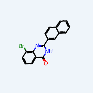 O=c1[nH]c(-c2ccc3ccccc3c2)nc2c(Br)cccc12